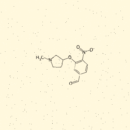 CN1CCC(Oc2cc(C=O)ccc2[N+](=O)[O-])C1